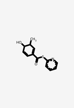 CC1C=C(C(=O)Sc2ccccn2)C=CC1O